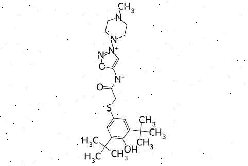 CN1CCN([n+]2cc([N-]C(=O)CSc3cc(C(C)(C)C)c(O)c(C(C)(C)C)c3)on2)CC1